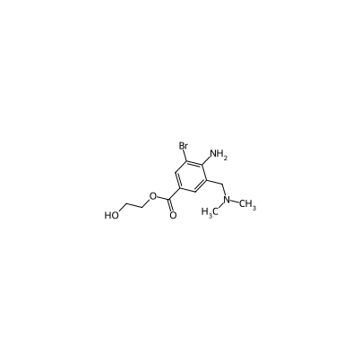 CN(C)Cc1cc(C(=O)OCCO)cc(Br)c1N